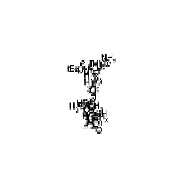 CC(C)[C@H](NC(=O)OC(C)(C)C)C(=O)N[C@@H](CCCNC(N)=O)C(=O)Nc1ccc(OCC(=O)[C@@]2(O)[C@H](C)C[C@H]3[C@@H]4C[C@H](F)C5=CC(=O)C=C[C@]5(C)[C@@]4(F)[C@@H](O)C[C@@]32C)cc1